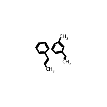 C=Cc1cccc(C)c1.CC=Cc1ccccc1